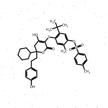 Cc1ccc(S(=O)(=O)Oc2cc(C(C)(C)C)c(SC3=C(O)CC(CCc4ccc(O)cc4)(C4CCCCC4)OC3=O)cc2C)cc1